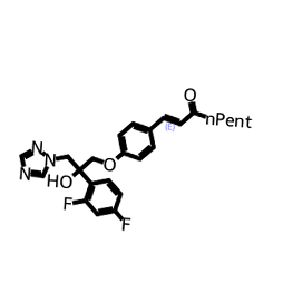 CCCCCC(=O)/C=C/c1ccc(OCC(O)(Cn2cncn2)c2ccc(F)cc2F)cc1